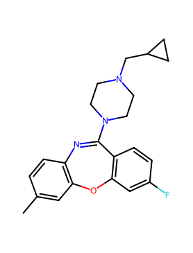 Cc1ccc2c(c1)Oc1cc(F)ccc1C(N1CCN(CC3CC3)CC1)=N2